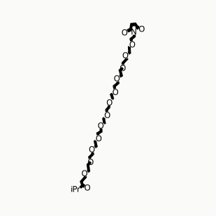 CC(C)C(=O)CCOCCOCCOCCOCCOCCOCCOCCOCCOCCOCCOCCOCCN1C(=O)C=CC1=O